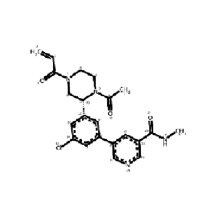 C=CC(=O)N1CCN(C(C)=O)[C@H](c2cc(Cl)cc(-c3cncc(C(=O)NC)c3)c2)C1